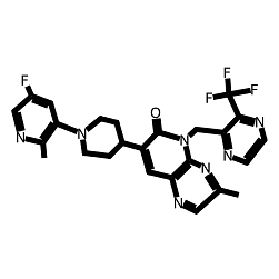 Cc1cnc2cc(C3CCN(c4cc(F)cnc4C)CC3)c(=O)n(Cc3nccnc3C(F)(F)F)c2n1